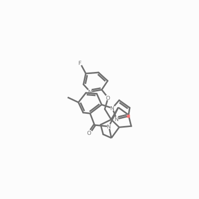 Cc1ccc(-n2cccn2)c(C(=O)N2C3CCC4(COc5ccc(F)cn5)C3CCC24)c1